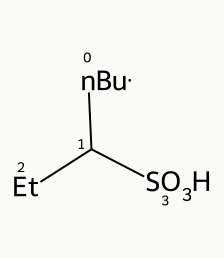 CCC[CH]C(CC)S(=O)(=O)O